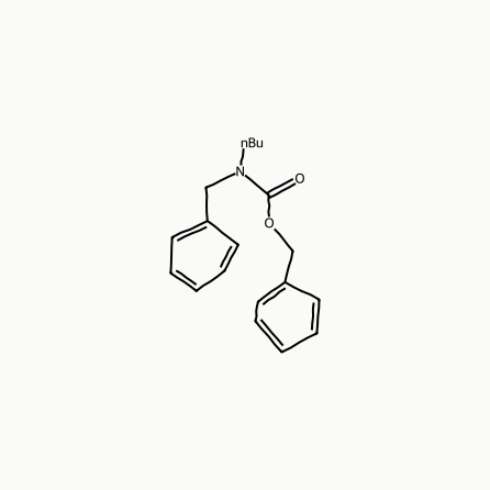 CCCCN(Cc1ccccc1)C(=O)OCc1ccccc1